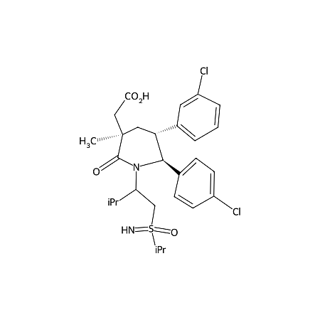 CC(C)C(CS(=N)(=O)C(C)C)N1C(=O)[C@@](C)(CC(=O)O)C[C@H](c2cccc(Cl)c2)[C@H]1c1ccc(Cl)cc1